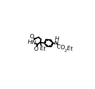 CCOC(=O)Nc1ccc(C2(CC)CCC(=O)NC2=O)cc1